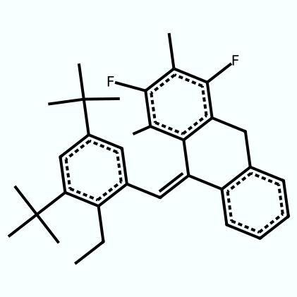 CCc1c(/C=C2/c3ccccc3Cc3c(F)c(C)c(F)c(C)c32)cc(C(C)(C)C)cc1C(C)(C)C